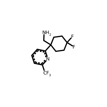 NCC1(c2cccc(C(F)(F)F)n2)CCC(F)(F)CC1